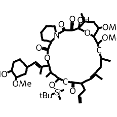 C=CCC1C=C(C)CC(C)CC(OC)C2OC(O)(C(=O)C(=O)N3CCCCC3C(=O)OC(C(C)=CC3CCC(O)C(OC)C3)C(C)C(O[Si](C)(C)C(C)(C)C)CC1=O)C(C)CC2OC